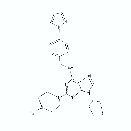 CN1CCN(c2nc(NCc3ccc(-n4cccn4)cc3)c3ncn(C4CCCC4)c3n2)CC1